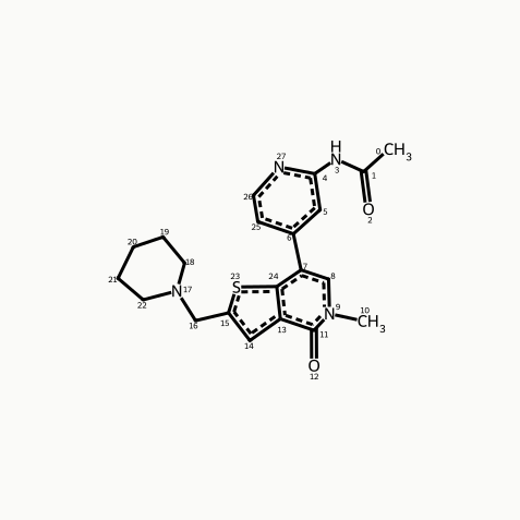 CC(=O)Nc1cc(-c2cn(C)c(=O)c3cc(CN4CCCCC4)sc23)ccn1